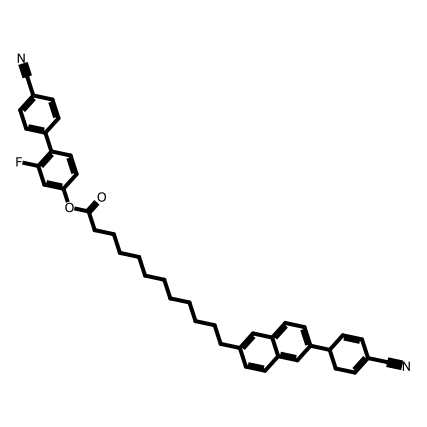 N#CC1=CCC(c2ccc3cc(CCCCCCCCCCCC(=O)Oc4ccc(-c5ccc(C#N)cc5)c(F)c4)ccc3c2)C=C1